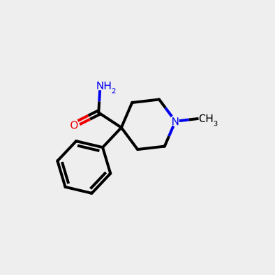 CN1CCC(C(N)=O)(c2ccccc2)CC1